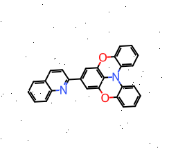 c1ccc2c(c1)Oc1cc(-c3ccc4ccccc4n3)cc3c1N2c1ccccc1O3